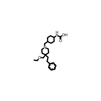 CCOCC1(CCc2ccccc2)CCN(CC2CCC(NC(=O)O)CC2)CC1